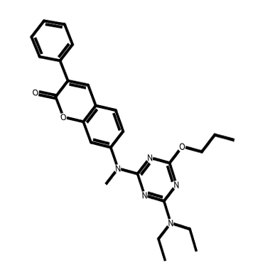 CCCOc1nc(N(CC)CC)nc(N(C)c2ccc3cc(-c4ccccc4)c(=O)oc3c2)n1